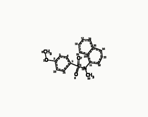 COc1ccc(S(=O)(=O)N(C)c2cccc3ccccc23)cc1